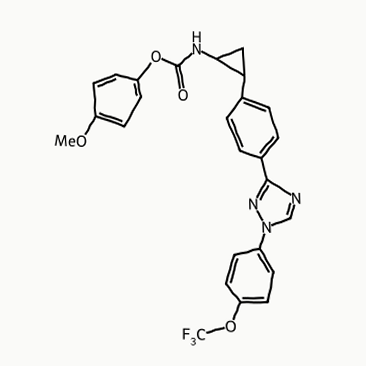 COc1ccc(OC(=O)NC2CC2c2ccc(-c3ncn(-c4ccc(OC(F)(F)F)cc4)n3)cc2)cc1